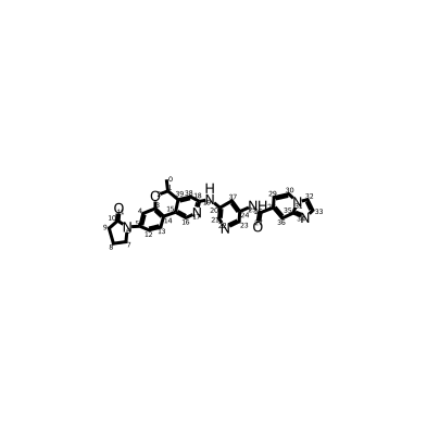 CC1Oc2cc(N3CCCC3=O)ccc2-c2cnc(Nc3cncc(NC(=O)c4ccn5ccnc5c4)c3)cc21